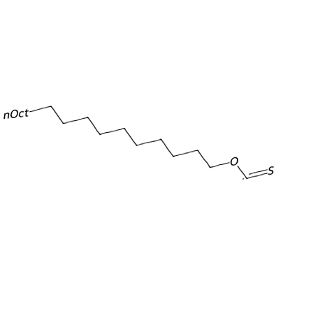 CCCCCCCCCCCCCCCCCCO[C]=S